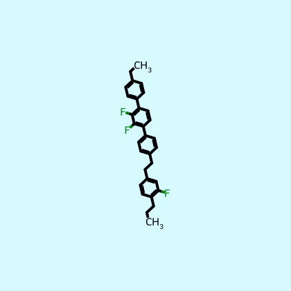 CCCc1ccc(CCc2ccc(-c3ccc(-c4ccc(CC)cc4)c(F)c3F)cc2)cc1F